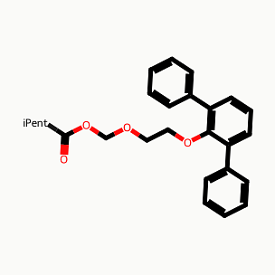 CCCC(C)C(=O)OCOCCOc1c(-c2ccccc2)cccc1-c1ccccc1